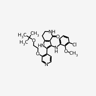 COc1c(Cl)cccc1Nc1c(-c2ccncc2OCCOC(C)(C)C)[nH]c2c1C(=O)NCC2